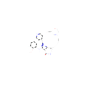 COc1c(F)cccc1Nc1c2[nH]c3c1C(=O)NC[C@H]3CCCCN1CCO[C@H](COc3cnccc3-2)C1